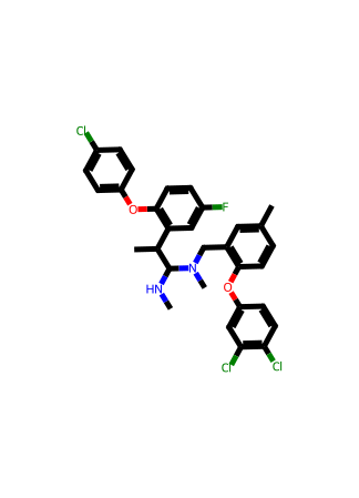 CNC(C(C)c1cc(F)ccc1Oc1ccc(Cl)cc1)N(C)Cc1cc(C)ccc1Oc1ccc(Cl)c(Cl)c1